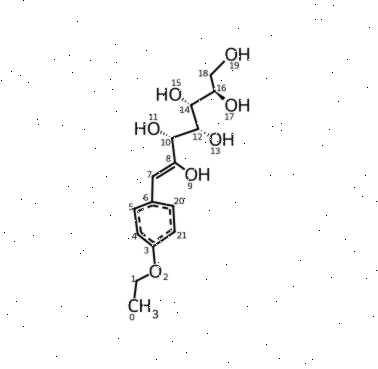 CCOc1ccc(C=C(O)[C@H](O)[C@@H](O)[C@H](O)[C@H](O)CO)cc1